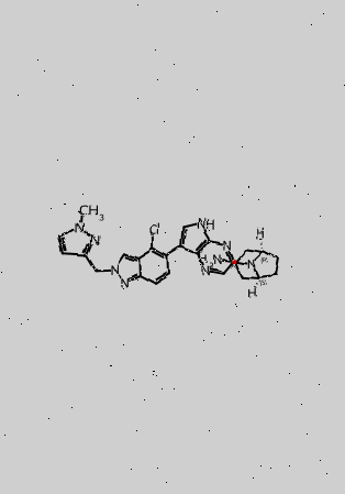 Cn1ccc(Cn2cc3c(Cl)c(-c4c[nH]c5nc(N6[C@@H]7CC[C@H]6C[C@@H](N)C7)cnc45)ccc3n2)n1